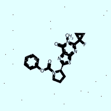 Cn1c(C2(F)CC2)nc2sc([C@H]3CCCN3C(=O)Oc3ccccc3)nc2c1=O